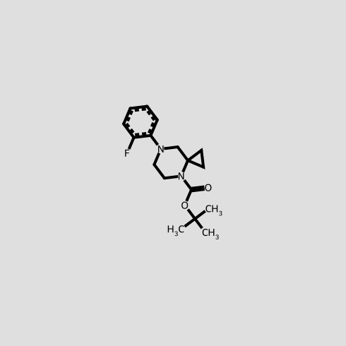 CC(C)(C)OC(=O)N1CCN(c2ccccc2F)CC12CC2